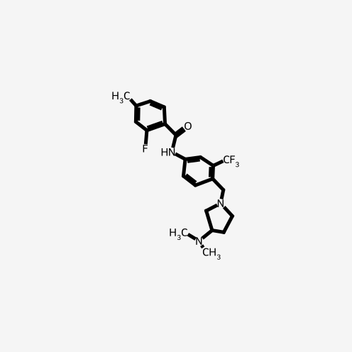 Cc1ccc(C(=O)Nc2ccc(CN3CCC(N(C)C)C3)c(C(F)(F)F)c2)c(F)c1